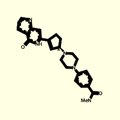 CNC(=O)c1ccc(N2CCN([C@H]3C=C(c4cc5ncccc5c(=O)[nH]4)CC3)CC2)cc1